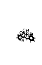 CC(=O)N(O)C(Cc1ccccc1)c1ccccn1